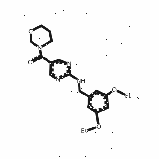 CCOc1cc(CNc2ncc(C(=O)N3CCCOC3)cn2)cc(OCC)c1